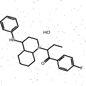 CCC(C(=O)c1ccc(F)cc1)N1CCC(Nc2ccccc2)C2CCCCC21.Cl